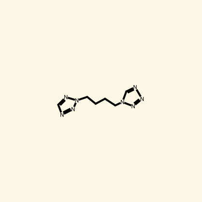 c1nnn(CCCCn2cnnn2)n1